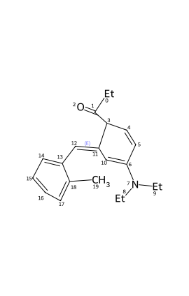 CCC(=O)C1C=CC(N(CC)CC)=C/C1=C\c1ccccc1C